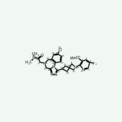 COc1cc(F)cnc1N1CC2(CC(c3nnc4n3-c3ccc(Cl)cc3CN(CC(=O)N(C)C)C4)C2)C1